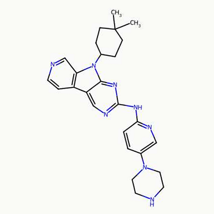 CC1(C)CCC(n2c3cnccc3c3cnc(Nc4ccc(N5CCNCC5)cn4)nc32)CC1